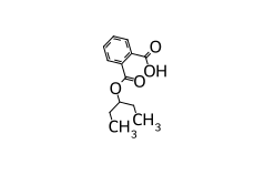 CCC(CC)OC(=O)c1ccccc1C(=O)O